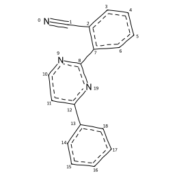 N#Cc1ccccc1-c1nccc(-c2ccccc2)n1